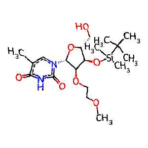 COCCO[C@@H]1[C@H](O[Si](C)(C)C(C)(C)C)[C@@H](CO)O[C@H]1n1cc(C)c(=O)[nH]c1=O